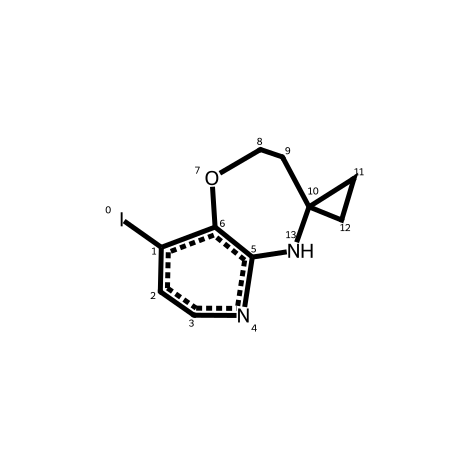 Ic1ccnc2c1OCCC1(CC1)N2